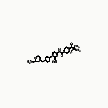 CC(C)(N)C(=O)N1CCN(C(=O)Nc2ccn(-c3ccc(CN4CCOC(CN)C4)cc3)c(=O)n2)CC1.Cl